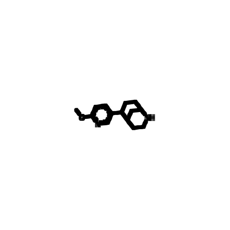 COc1ccc(C2CCC3CC2CCN3)cn1